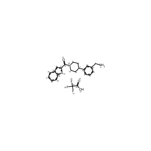 NCc1cccc(C2CCN(C(=O)c3cc4ccccc4s3)CC2)c1.O=C(O)C(F)(F)F